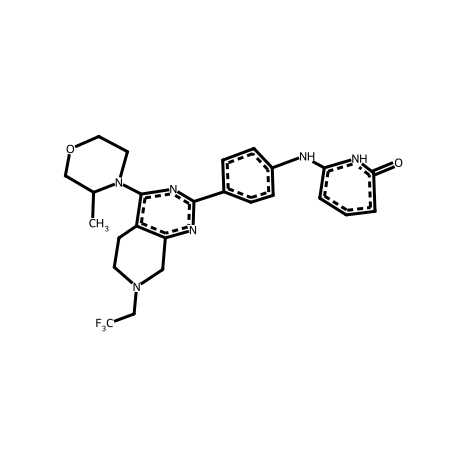 CC1COCCN1c1nc(-c2ccc(Nc3cccc(=O)[nH]3)cc2)nc2c1CCN(CC(F)(F)F)C2